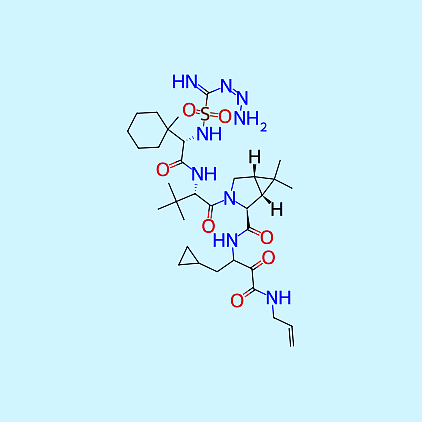 C=CCNC(=O)C(=O)C(CC1CC1)NC(=O)[C@@H]1[C@@H]2[C@H](CN1C(=O)[C@@H](NC(=O)[C@@H](NS(=O)(=O)C(=N)/N=N\N)C1(C)CCCCC1)C(C)(C)C)C2(C)C